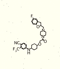 N#Cc1ccc(NC2CCC(OCC(=O)N3CCN(CC4Cc5cc(F)ccc5O4)CC3)CC2)cc1C(F)(F)F